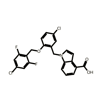 O=C(O)c1cccc2c1ccn2Cc1cc(Cl)ccc1OCc1c(F)cc(Cl)cc1F